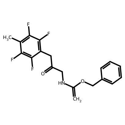 C=C(NCC(=O)Cc1c(F)c(F)c(C)c(F)c1F)OCc1ccccc1